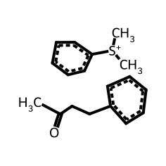 CC(=O)CCc1ccccc1.C[S+](C)c1ccccc1